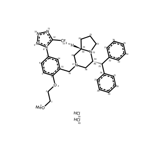 COCCOc1ccc(-n2nnnc2C(F)(F)F)cc1CN1C[C@@H]2CCCN2[C@H](C(c2ccccc2)c2ccccc2)C1.Cl.Cl